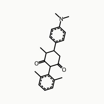 Cc1cccc(C)c1C1C(=O)CC(c2ccc(N(C)C)cc2)C(C)C1=O